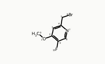 COc1cc(CBr)ncc1F